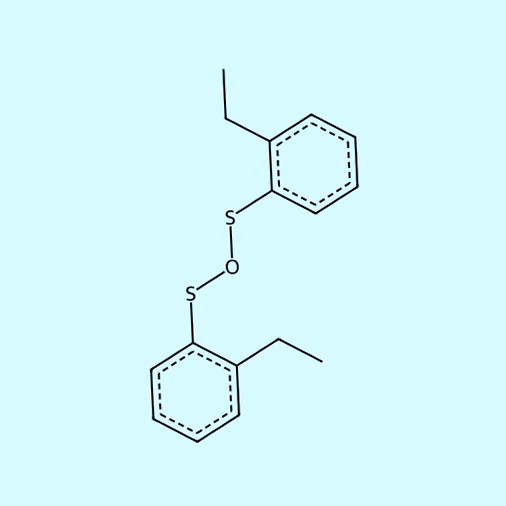 CCc1ccccc1SOSc1ccccc1CC